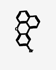 Brc1ccc2c(c1)-c1cccc3cccc(c13)O2